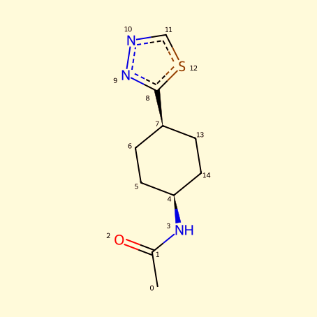 CC(=O)N[C@H]1CC[C@@H](c2nncs2)CC1